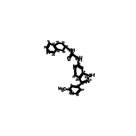 Cc1cc(-c2n[nH]c3cc(NC(=O)NC4CCc5ccncc5C4)ncc23)ccn1